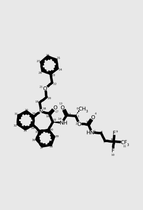 C[C@H](OC(=O)NCCC(F)(F)C(F)(F)F)C(=O)N[C@@H]1C(=O)N(CCOCc2ccccc2)c2ccccc2-c2ccccc21